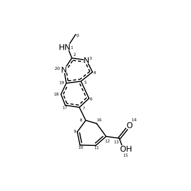 CNc1ncc2cc(C3C=CC=C(C(=O)O)C3)ccc2n1